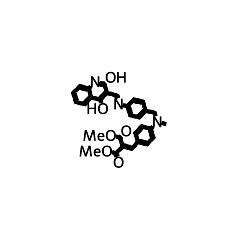 COC(=O)C(=Cc1ccc(N(C)Cc2ccc(N=Cc3c(O)nc4ccccc4c3O)cc2)cc1)C(=O)OC